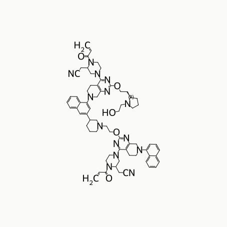 C=CC(=O)N1CCN(c2nc(OCC[C@H]3CCCN3CCO)nc3c2CCN(c2cc(C4CCCN(CCOc5nc6c(c(N7CCN(C(=O)C=C)C(CC#N)C7)n5)CCN(c5cccc7ccccc57)C6)C4)cc4ccccc24)C3)CC1CC#N